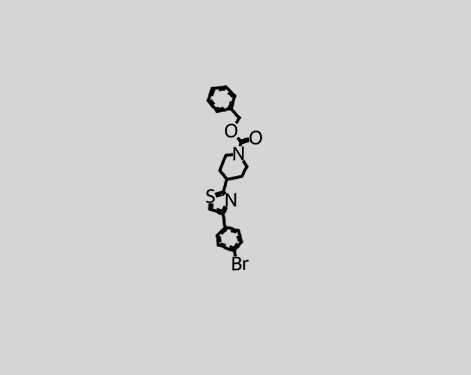 O=C(OCc1ccccc1)N1CCC(c2nc(-c3ccc(Br)cc3)cs2)CC1